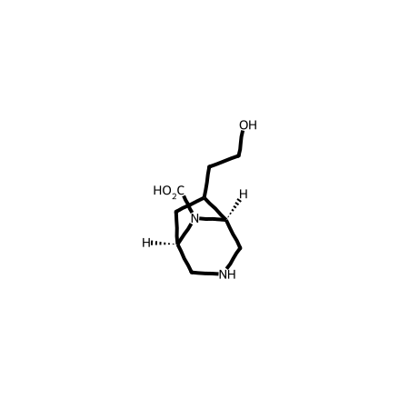 O=C(O)N1[C@H]2CNC[C@@H]1C(CCO)C2